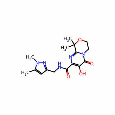 Cc1cc(CNC(=O)c2nc3n(c(=O)c2O)CCOC3(C)C)nn1C